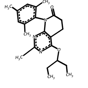 CCC(CC)Oc1nc(C)nc2c1CCC(=O)N2c1c(C)cc(C)cc1C